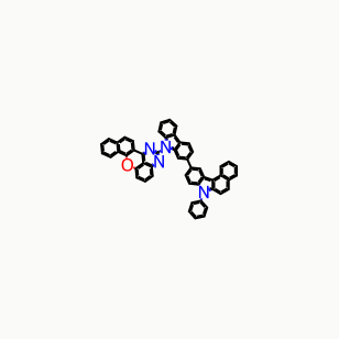 c1ccc(-n2c3ccc(-c4ccc5c6ccccc6n(-c6nc7c8c(cccc8n6)Oc6c-7ccc7ccccc67)c5c4)cc3c3c4ccccc4ccc32)cc1